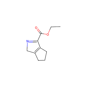 CCOC(=O)C1=NCC2=C1CCC2